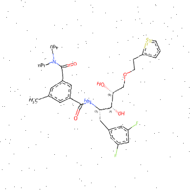 CCCN(CCC)C(=O)c1cc(C)cc(C(=O)N[C@@H](Cc2cc(F)cc(F)c2)[C@@H](O)[C@H](O)COCCc2cccs2)c1